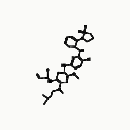 C=CC(=O)Nc1cc(Nc2ncc(Cl)c(Nc3ccccc3N3CCCS3(=O)=O)n2)c(OC)cc1N(C)CCN(C)C